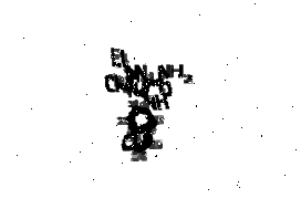 CCc1nc(C(N)=O)c(Nc2ccc3occc3c2)nc1Cl